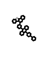 C1=C(c2ccccc2)CCC(c2c3ccccc3c(-c3cccc(-c4cc5ccccc5c5oc6ccccc6c45)c3)c3ccccc23)=C1